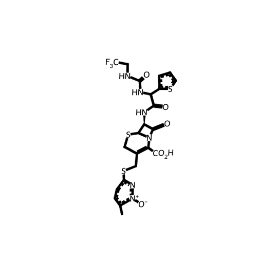 Cc1ccc(SCC2=C(C(=O)O)N3C(=O)[C@H](NC(=O)C(NC(=O)NCC(F)(F)F)c4cccs4)C3SC2)n[n+]1[O-]